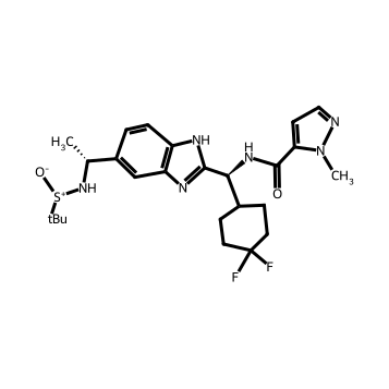 C[C@@H](N[S+]([O-])C(C)(C)C)c1ccc2[nH]c([C@@H](NC(=O)c3ccnn3C)C3CCC(F)(F)CC3)nc2c1